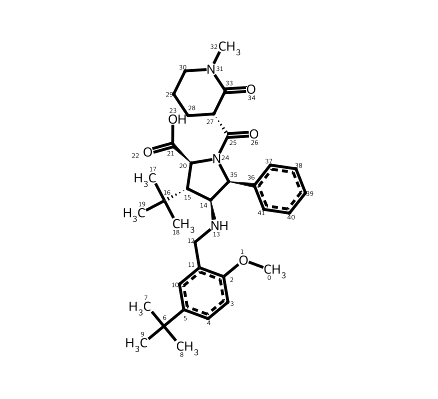 COc1ccc(C(C)(C)C)cc1CN[C@H]1[C@H](C(C)(C)C)[C@@H](C(=O)O)N(C(=O)[C@@H]2CCCN(C)C2=O)[C@H]1c1ccccc1